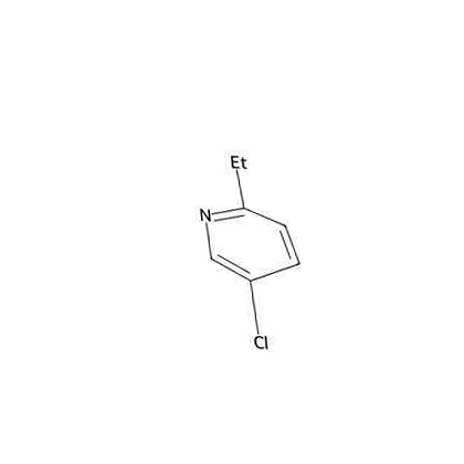 [CH2]Cc1ccc(Cl)cn1